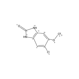 O=c1[nH]c2cc(Cl)c(OC(F)(F)F)cc2[nH]1